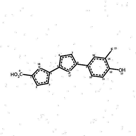 O=C(O)c1ccc(-c2ccc(-c3ccc(O)c(F)c3)s2)s1